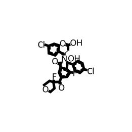 O=C(O)C[C@@H](c1ccc(Cl)cc1)N1C(=O)c2cc(C(=O)C3(F)CCOCC3)cc(F)c2C1(O)c1ccc(Cl)cc1